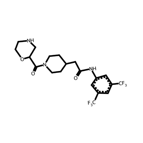 O=C(CC1CCN(C(=O)C2CNCCO2)CC1)Nc1cc(C(F)(F)F)cc(C(F)(F)F)c1